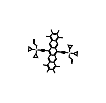 C=CC[Si](C#Cc1c2cc3c(C)c(C)c(C)c(C)c3cc2c(C#C[Si](CC=C)(C2CC2)C2CC2)c2cc3c(C)c(C)c(C)c(C)c3cc12)(C1CC1)C1CC1